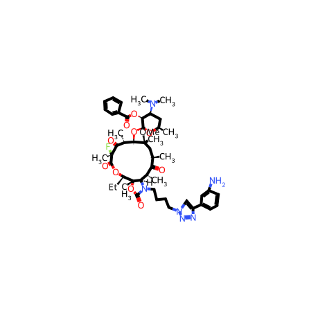 CC[C@H]1OC(=O)[C@@](C)(F)C(=O)[C@H](C)[C@@H](O[C@@H]2O[C@H](C)C[C@H](N(C)C)[C@H]2OC(=O)c2ccccc2)[C@@](C)(OC)C[C@@H](C)C(=O)[C@H](C)[C@H]2N(CCCCn3cc(-c4cccc(N)c4)nn3)C(=O)O[C@]12C